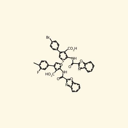 Cc1ccc(-c2csc(NC(=O)c3nc4ccccc4o3)c2C(=O)O)cc1F.O=C(Nc1scc(-c2ccc(Br)cc2)c1C(=O)O)c1nc2ccccc2o1